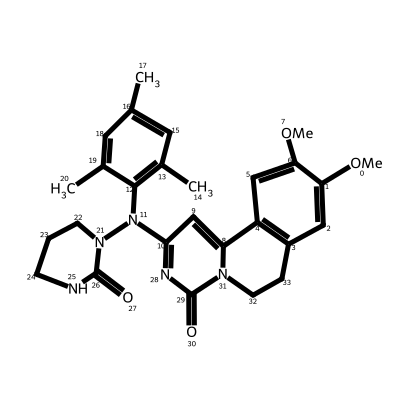 COc1cc2c(cc1OC)-c1cc(N(c3c(C)cc(C)cc3C)N3CCCNC3=O)nc(=O)n1CC2